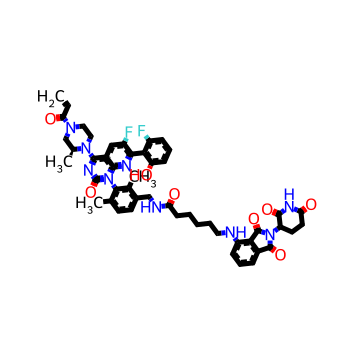 C=CC(=O)N1CCN(c2nc(=O)n(-c3c(C)ccc(CNC(=O)CCCCCNc4cccc5c4C(=O)N(C4CCC(=O)NC4=O)C5=O)c3C)c3nc(-c4c(O)cccc4F)c(F)cc23)[C@@H](C)C1